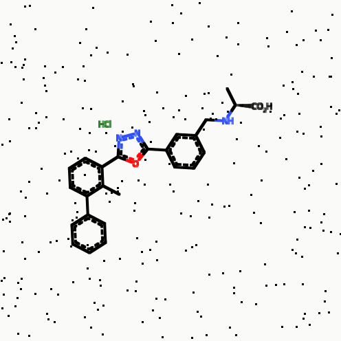 Cc1c(-c2ccccc2)cccc1-c1nnc(-c2cccc(CN[C@@H](C)C(=O)O)c2)o1.Cl